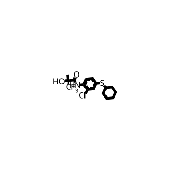 C[C@@](O)(C(=O)Nc1ccc(SC2CCCCC2)cc1Cl)C(F)(F)F